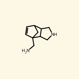 NCC12C=CC(C1)C1CNCC12